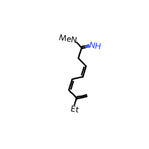 C=C(/C=C\C=C/CC(=N)NC)CC